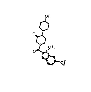 Cn1c(C(=O)N2CCC([C@H]3CC[C@H](O)CC3)C(=O)C2)nc2ccc(C3CC3)cc21